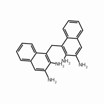 Nc1cc2ccccc2c(Cc2c(N)c(N)cc3ccccc23)c1N